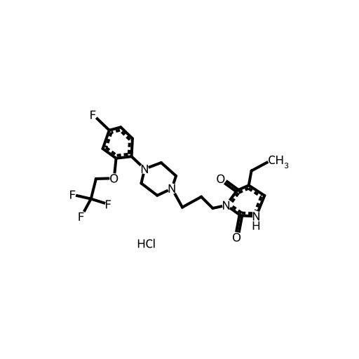 CCc1c[nH]c(=O)n(CCCN2CCN(c3ccc(F)cc3OCC(F)(F)F)CC2)c1=O.Cl